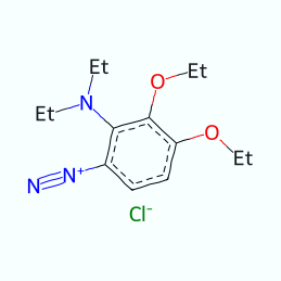 CCOc1ccc([N+]#N)c(N(CC)CC)c1OCC.[Cl-]